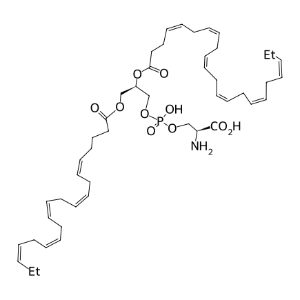 CC/C=C\C/C=C\C/C=C\C/C=C\C/C=C\C/C=C\CCC(=O)O[C@H](COC(=O)CCC/C=C\C/C=C\C/C=C\C/C=C\C/C=C\CC)COP(=O)(O)OC[C@H](N)C(=O)O